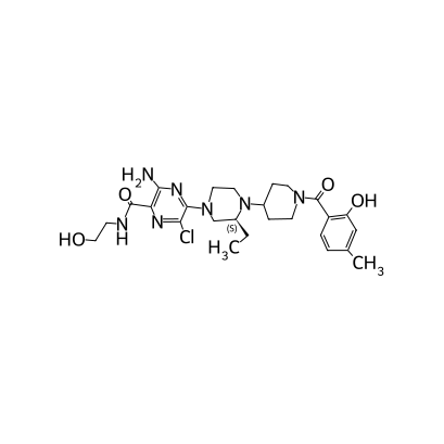 CC[C@H]1CN(c2nc(N)c(C(=O)NCCO)nc2Cl)CCN1C1CCN(C(=O)c2ccc(C)cc2O)CC1